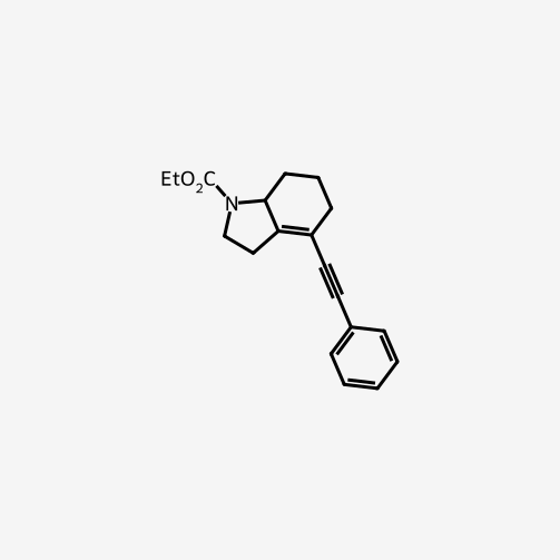 CCOC(=O)N1CCC2=C(C#Cc3ccccc3)CCCC21